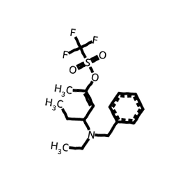 CCC(/C=C(\C)OS(=O)(=O)C(F)(F)F)N(CC)Cc1ccccc1